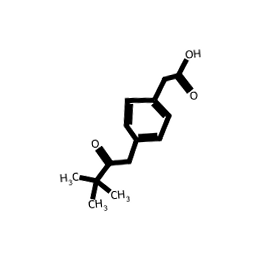 CC(C)(C)C(=O)Cc1ccc(CC(=O)O)cc1